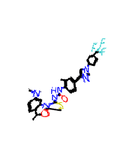 Cc1cc(-c2cn(-c3ccc(C(F)(F)F)cc3)cn2)ccc1NC(=O)/N=C1\SCC(=O)N1c1cc(N(C)C)ccc1C(C)C